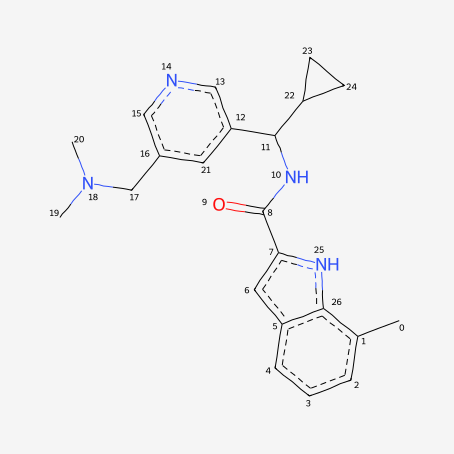 Cc1cccc2cc(C(=O)NC(c3cncc(CN(C)C)c3)C3CC3)[nH]c12